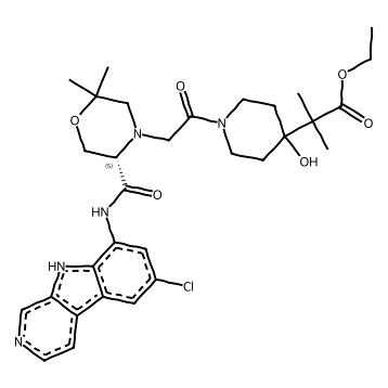 CCOC(=O)C(C)(C)C1(O)CCN(C(=O)CN2CC(C)(C)OC[C@H]2C(=O)Nc2cc(Cl)cc3c2[nH]c2cnccc23)CC1